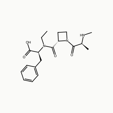 CCN(C(=O)[C@@H]1CCN1C(=O)[C@H](C)NC)[C@@H](Cc1ccccc1)C(=O)O